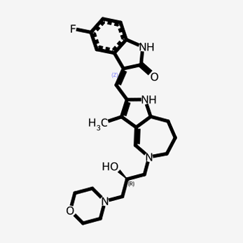 CC1=C(/C=C2\C(=O)Nc3ccc(F)cc32)NC2CCCN(C[C@H](O)CN3CCOCC3)C=C12